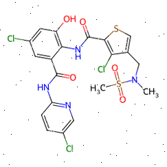 CN(Cc1csc(C(=O)Nc2c(O)cc(Cl)cc2C(=O)Nc2ccc(Cl)cn2)c1Cl)S(C)(=O)=O